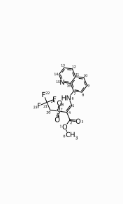 COC(=O)C(=CNc1cccc2cccnc12)S(=O)(=O)CC(F)(F)F